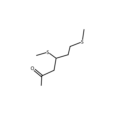 CSCCC(CC(C)=O)SC